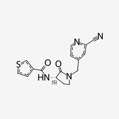 N#Cc1cc(CN2CC[C@H](NC(=O)c3ccsc3)C2=O)ccn1